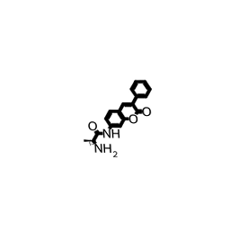 C[C@H](N)C(=O)Nc1ccc2cc(-c3ccccc3)c(=O)oc2c1